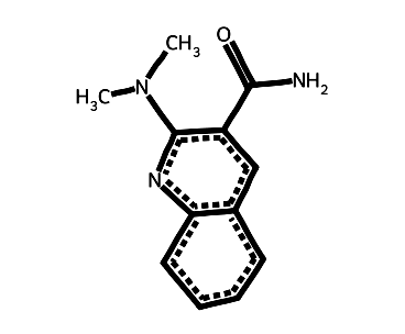 CN(C)c1nc2ccccc2cc1C(N)=O